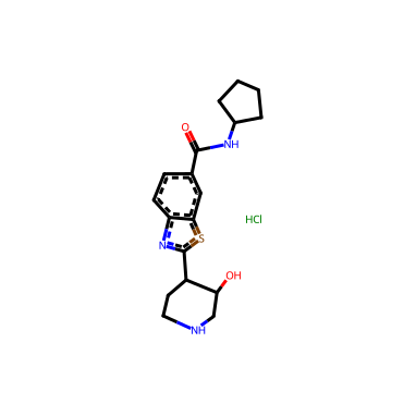 Cl.O=C(NC1CCCC1)c1ccc2nc(C3CCNCC3O)sc2c1